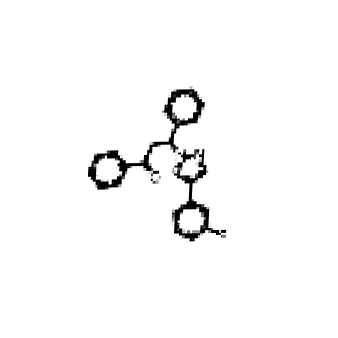 O=C(CC(c1ccccc1)n1ncc(-c2cccc(F)c2)n1)c1ccccc1